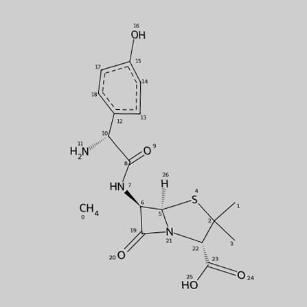 C.CC1(C)S[C@@H]2[C@H](NC(=O)[C@H](N)c3ccc(O)cc3)C(=O)N2[C@H]1C(=O)O